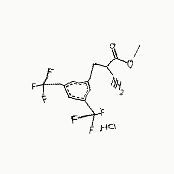 COC(=O)C(N)Cc1cc(C(F)(F)F)cc(C(F)(F)F)c1.Cl